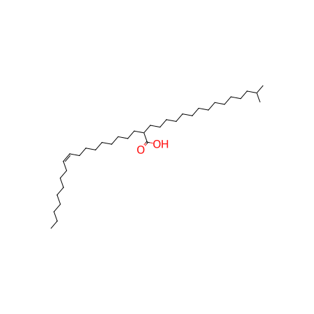 CCCCCCCC/C=C\CCCCCCCCC(CCCCCCCCCCCCCC(C)C)C(=O)O